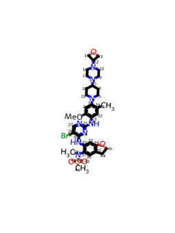 COc1cc(N2CCC(N3CCN(C4COC4)CC3)CC2)c(C)cc1Nc1ncc(Br)c(Nc2cc3c(cc2N(C)S(C)(=O)=O)CCO3)n1